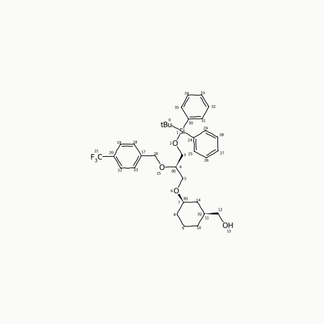 CC(C)(C)[Si](OC[C@@H](CO[C@@H]1CCC[C@H](CO)C1)OCc1ccc(C(F)(F)F)cc1)(c1ccccc1)c1ccccc1